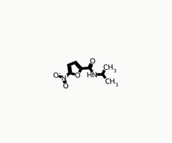 CC(C)NC(=O)c1ccc([N+](=O)[O-])o1